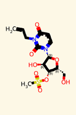 C=CCn1c(=O)ccn([C@@H]2O[C@H](CO)[C@H](OS(C)(=O)=O)[C@H]2O)c1=O